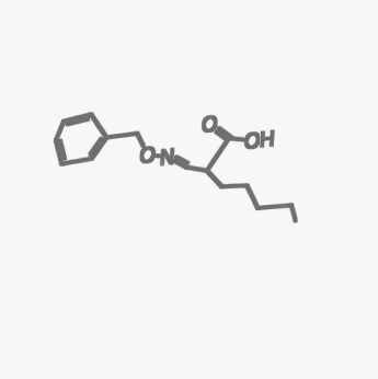 CCCCCC(C=NOCc1ccccc1)C(=O)O